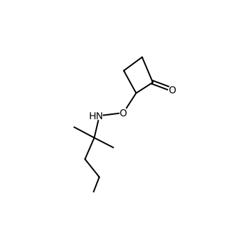 CCCC(C)(C)NOC1CCC1=O